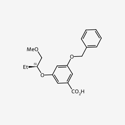 CC[C@@H](COC)Oc1cc(OCc2ccccc2)cc(C(=O)O)c1